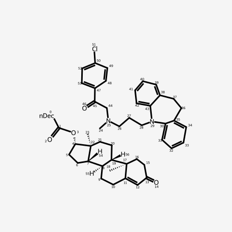 CCCCCCCCCCC(=O)O[C@H]1CC[C@H]2[C@@H]3CCC4=CC(=O)CC[C@]4(C)[C@H]3CC[C@]12C.CN(CCCN1c2ccccc2CCc2ccccc21)CC(=O)c1ccc(Cl)cc1